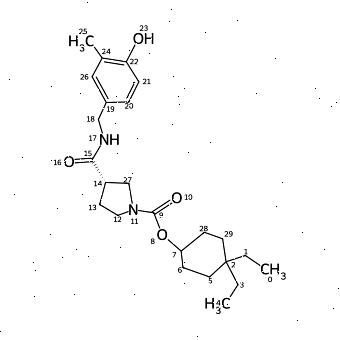 CCC1(CC)CCC(OC(=O)N2CC[C@H](C(=O)NCc3ccc(O)c(C)c3)C2)CC1